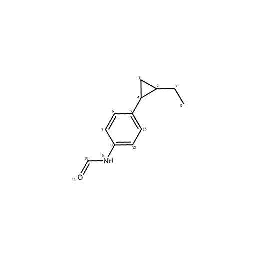 CCC1CC1c1ccc(NC=O)cc1